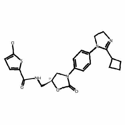 O=C(NC[C@H]1CN(c2ccc(N3CCN=C3C3CCC3)cc2)C(=O)O1)c1ccc(Cl)s1